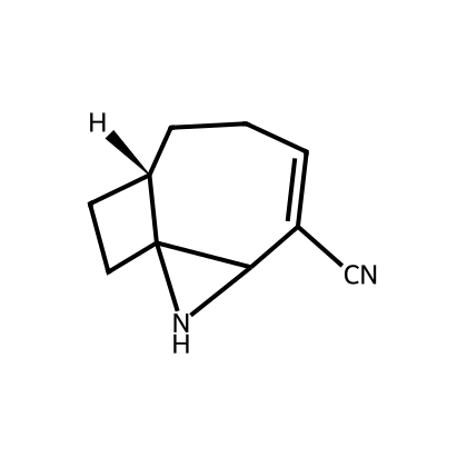 N#CC1=CCC[C@H]2CCC23NC13